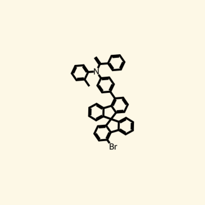 C=C(c1ccccc1)N(c1ccc(-c2cccc3c2-c2ccccc2C32c3ccccc3-c3c(Br)cccc32)cc1)c1ccccc1C